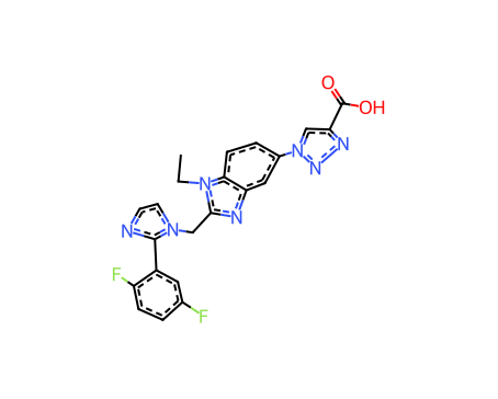 CCn1c(Cn2ccnc2-c2cc(F)ccc2F)nc2cc(-n3cc(C(=O)O)nn3)ccc21